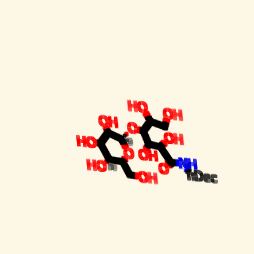 CCCCCCCCCCNC(=O)C(O)C(O)C(O[C@@H]1OC(CO)[C@@H](O)C(O)C1O)C(O)CO